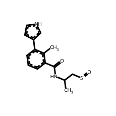 Cc1c(C(=O)NC(C)C[S+]=O)cccc1-c1cc[nH]c1